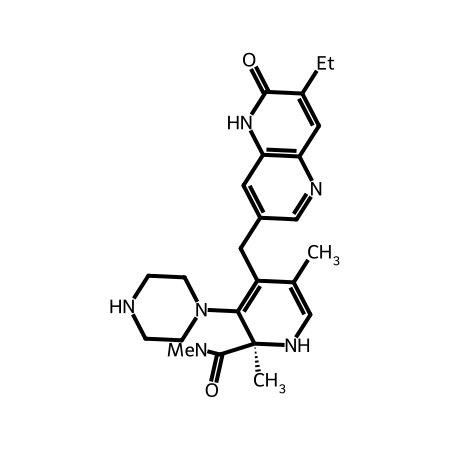 CCc1cc2ncc(CC3=C(N4CCNCC4)[C@](C)(C(=O)NC)NC=C3C)cc2[nH]c1=O